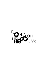 COc1cc2c(c(N)c1O)Cc1c-2n[nH]c1Nc1cccc(F)c1